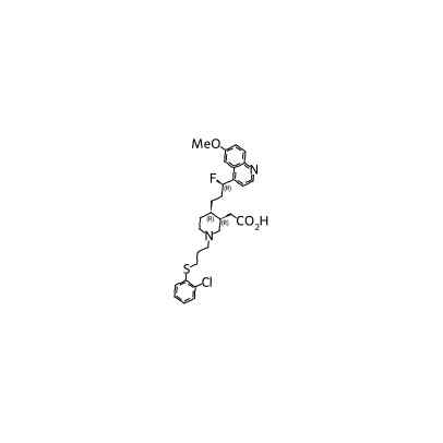 COc1ccc2nccc([C@H](F)CC[C@@H]3CCN(CCCSc4ccccc4Cl)C[C@@H]3CC(=O)O)c2c1